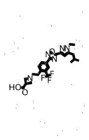 CCn1nc(-c2nc(-c3ccc(CCN4CC(C(=O)O)C4)c(C(F)(F)F)c3)no2)cc1CC(C)C